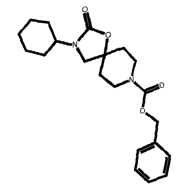 O=C(OCc1ccccc1)N1CCC2(CC1)CN(C1CCCCC1)C(=O)O2